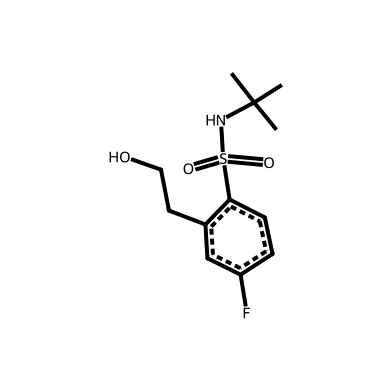 CC(C)(C)NS(=O)(=O)c1ccc(F)cc1CCO